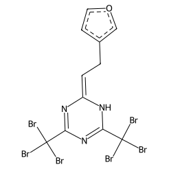 BrC(Br)(Br)C1=NC(=CCc2ccoc2)NC(C(Br)(Br)Br)=N1